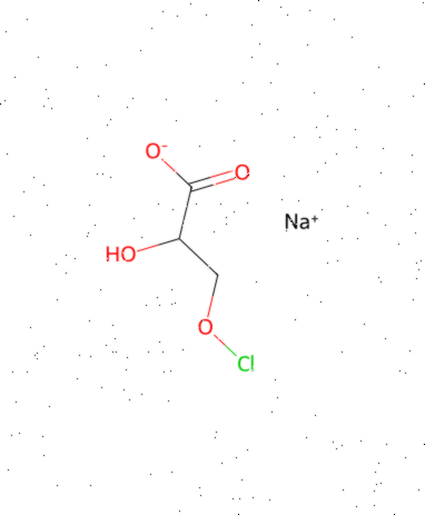 O=C([O-])C(O)COCl.[Na+]